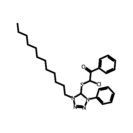 CCCCCCCCCCCCN1N=NN(c2ccccc2)C1SC(Cl)C(=O)c1ccccc1